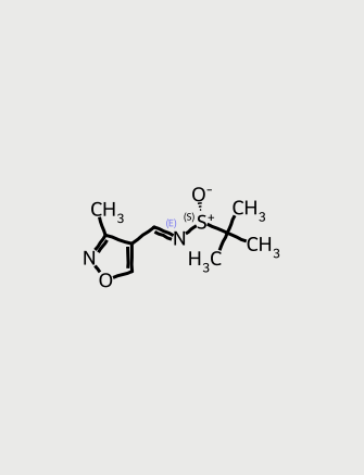 Cc1nocc1/C=N/[S@+]([O-])C(C)(C)C